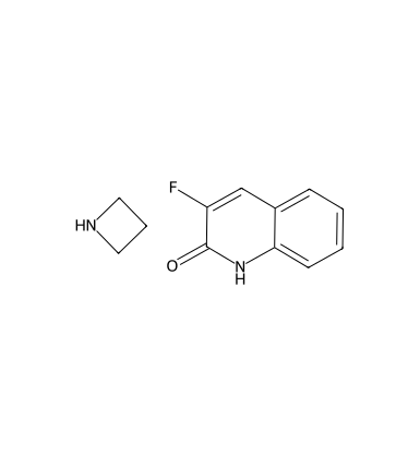 C1CNC1.O=c1[nH]c2ccccc2cc1F